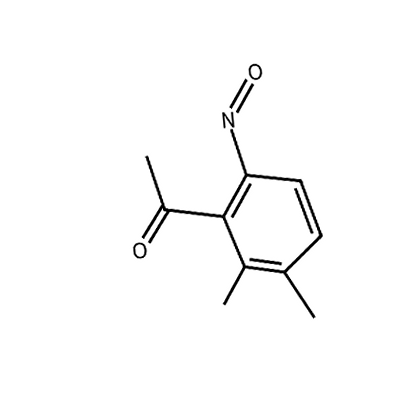 CC(=O)c1c(N=O)ccc(C)c1C